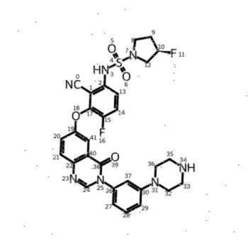 N#Cc1c(NS(=O)(=O)N2CC[C@@H](F)C2)ccc(F)c1Oc1ccc2ncn(-c3cccc(N4CCNCC4)c3)c(=O)c2c1